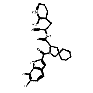 N#CC(CC1CCCNC1O)NC(=O)C1CC2(CCCCC2)CN1C(=O)c1cc2ccc(Cl)c(Cl)c2[nH]1